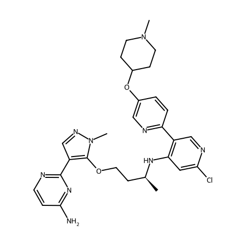 C[C@@H](CCOc1c(-c2nccc(N)n2)cnn1C)Nc1cc(Cl)ncc1-c1ccc(OC2CCN(C)CC2)cn1